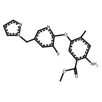 COC(=O)c1cc(Oc2ncc(Cn3cccn3)cc2F)c(C)cc1N